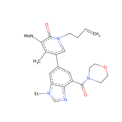 C=CCCn1cc(-c2cc(C(=O)N3CCOCC3)c3ncn(CC)c3c2)c(C)c(NC)c1=O